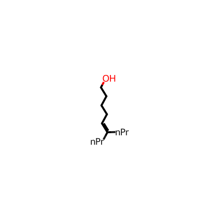 CCCC(=CCCCCO)CCC